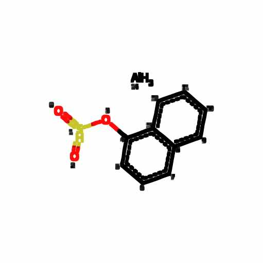 O=[SH](=O)Oc1cccc2ccccc12.[AlH3]